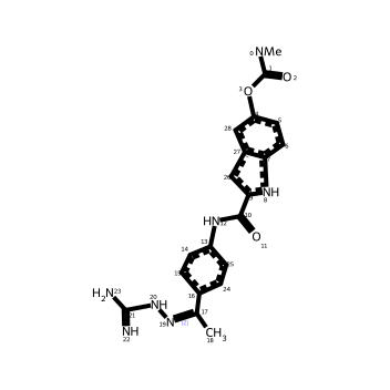 CNC(=O)Oc1ccc2[nH]c(C(=O)Nc3ccc(/C(C)=N\NC(=N)N)cc3)cc2c1